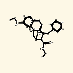 CCOC(=O)C1CC2C3Cc4ccc(OCC)cc4[C@@]2(C)CC1N3Cc1ccccc1